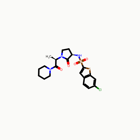 C[C@H](C(=O)N1CCCCC1)N1CC[C@@H](NS(=O)(=O)c2cc3ccc(Cl)cc3s2)C1=O